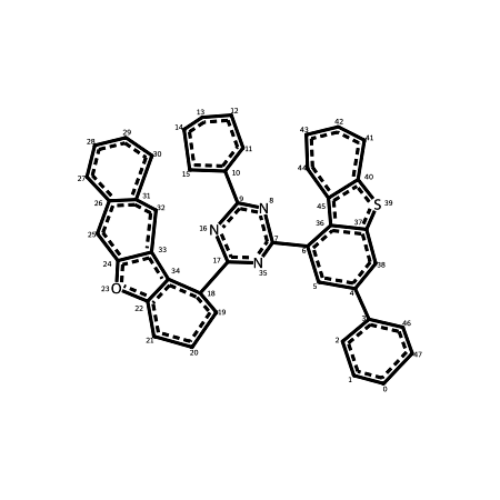 c1ccc(-c2cc(-c3nc(-c4ccccc4)nc(-c4cccc5oc6cc7ccccc7cc6c45)n3)c3c(c2)sc2ccccc23)cc1